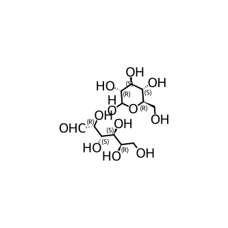 O=C[C@H](O)[C@@H](O)[C@@H](O)[C@H](O)CO.OC[C@H]1OC(O)[C@H](O)[C@@H](O)[C@@H]1O